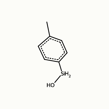 Cc1ccc([SiH2]O)cc1